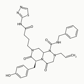 C=CCN1CC(=O)N2C(CN(CCCC(=O)Nc3nncs3)C(=O)[C@@H]2Cc2ccc(O)cc2)N1C(=O)NCc1ccccc1